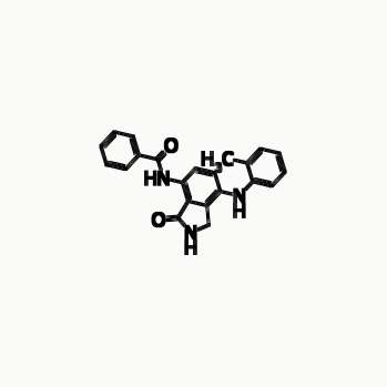 Cc1ccccc1Nc1ccc(NC(=O)c2ccccc2)c2c1CNC2=O